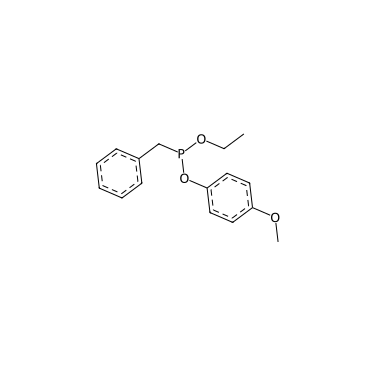 CCOP(Cc1ccccc1)Oc1ccc(OC)cc1